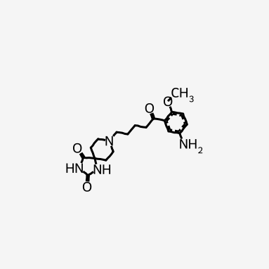 COc1ccc(N)cc1C(=O)CCCCN1CCC2(CC1)NC(=O)NC2=O